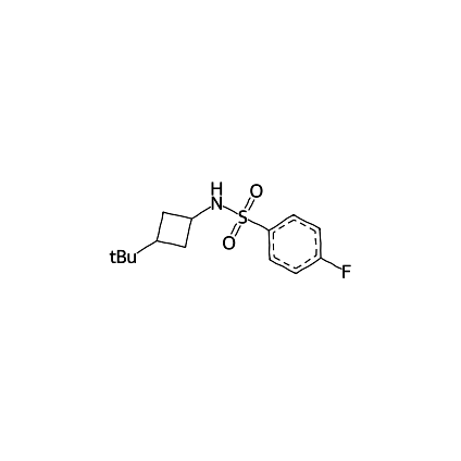 CC(C)(C)C1CC(NS(=O)(=O)c2ccc(F)cc2)C1